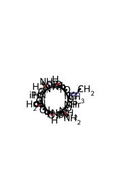 C=C/C=C\C=C(/C)C[C@H]1NC(=O)C(CC(C)C)NC(=O)[C@H](CCCN)N(N)C(=O)[C@H](C(C)C)NC(=O)[C@@H]2CCCN2C(=O)[C@@H](Cc2ccccc2)N(N)C(=O)[C@H](CC(C)C)NC(=O)[C@H](CCCN)N(N)C(=O)[C@H](C(C)C)NC(=O)[C@@H]2CCCN2C1=O